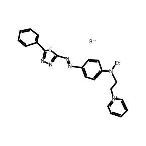 CCN(CC[n+]1ccccc1)c1ccc(N=Nc2nnc(-c3ccccc3)s2)cc1.[Br-]